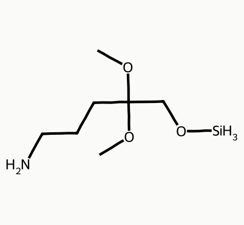 COC(CCCN)(CO[SiH3])OC